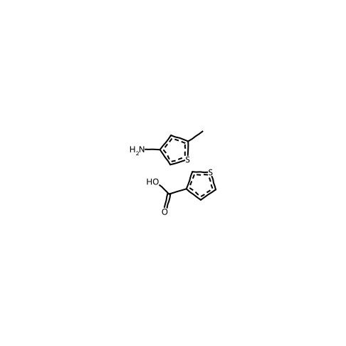 Cc1cc(N)cs1.O=C(O)c1ccsc1